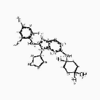 [2H]C1(O)CCC([2H])(Nc2ncc3nc(Nc4c(F)cc(F)cc4F)n(C4CCOC4)c3n2)CC1